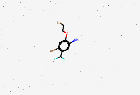 Nc1cc(C(F)F)c(Br)cc1OCCBr